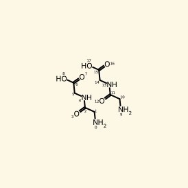 NCC(=O)NCC(=O)O.NCC(=O)NCC(=O)O